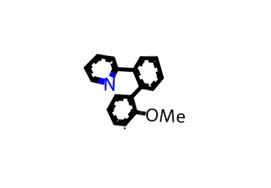 COc1[c]cccc1-c1ccccc1-c1ccccn1